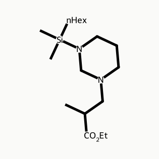 CCCCCC[Si](C)(C)N1CCCN(CC(C)C(=O)OCC)C1